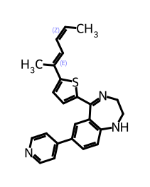 C/C=C\C=C(/C)c1ccc(C2=NCCNc3ccc(-c4ccncc4)cc32)s1